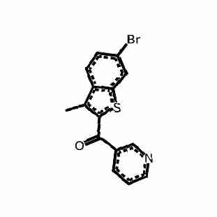 Cc1c(C(=O)c2cccnc2)sc2cc(Br)ccc12